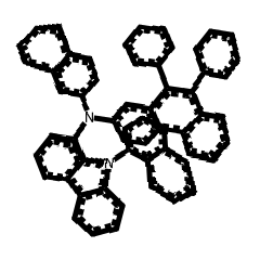 c1ccc(-c2c(-c3ccccc3)c3cc(N(c4ccc5ccccc5c4)c4cccc5c6ccccc6n(-c6cccc7ccccc67)c45)ccc3c3ccccc23)cc1